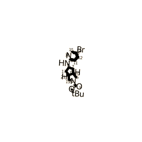 CC(C)(C)OC(=O)N1C[C@H]2C[C@H](Nc3ccc(Br)cn3)C[C@H]2C1